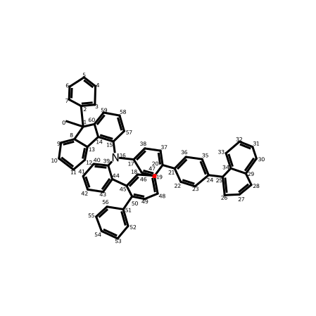 CC1(c2ccccc2)c2ccccc2-c2c(N(c3ccc(-c4ccc(-c5cccc6ccccc56)cc4)cc3)c3ccccc3-c3ccccc3-c3ccccc3)cccc21